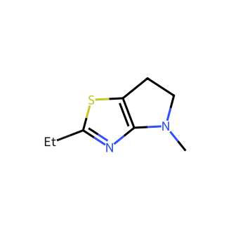 CCc1nc2c(s1)CCN2C